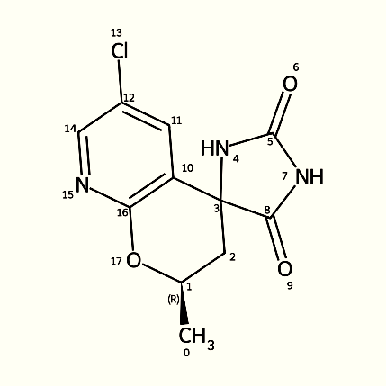 C[C@@H]1CC2(NC(=O)NC2=O)c2cc(Cl)cnc2O1